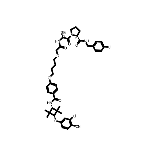 CC(C)(C)[C@H](NC(=O)COCCCCOc1ccc(C(=O)N[C@H]2C(C)(C)[C@H](Oc3ccc(C#N)c(Cl)c3)C2(C)C)cc1)C(=O)N1CCC[C@H]1C(=O)NCc1ccc(Cl)cc1